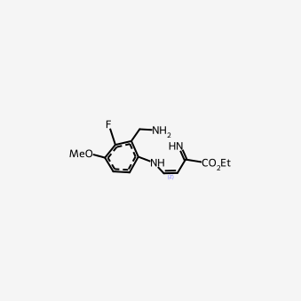 CCOC(=O)C(=N)/C=C\Nc1ccc(OC)c(F)c1CN